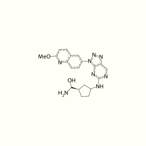 COc1ccc2cc(-n3nnc4cnc(NC5CC[C@@H](C(N)O)C5)nc43)ccc2n1